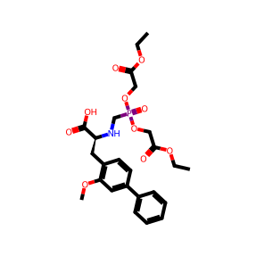 CCOC(=O)COP(=O)(CN[C@@H](Cc1ccc(-c2ccccc2)cc1OC)C(=O)O)OCC(=O)OCC